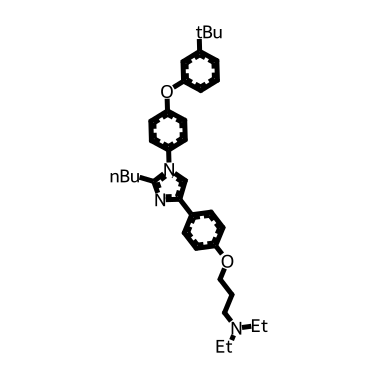 CCCCc1nc(-c2ccc(OCCCN(CC)CC)cc2)cn1-c1ccc(Oc2cccc(C(C)(C)C)c2)cc1